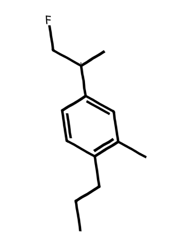 CCCc1ccc([C](C)CF)cc1C